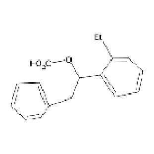 CCc1ccccc1C(Cc1ccccc1)OC(=O)O